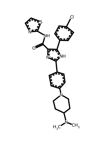 CN(C)C1CCN(c2ccc(-c3nc(C(=O)Nc4nccs4)c(-c4ccc(Cl)cc4)[nH]3)cc2)CC1